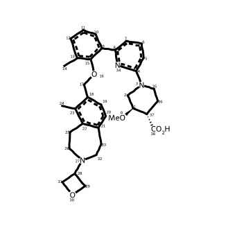 CO[C@H]1CN(c2cccc(-c3cccc(C)c3OCc3ccc4c(c3C)CCN(C3COC3)CC4)n2)CC[C@@H]1C(=O)O